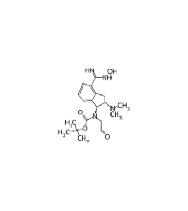 CN(C)C1Cc2c(C(=N)NO)cccc2[C@@H]1N(CC=O)C(=O)OC(C)(C)C